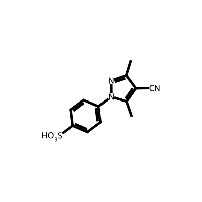 Cc1nn(-c2ccc(S(=O)(=O)O)cc2)c(C)c1C#N